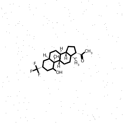 CC(=O)[C@H]1CC[C@H]2[C@@H]3CC[C@@H]4C[C@@H](C(F)(F)F)CC(O)[C@]4(C)[C@H]3CC[C@]12C